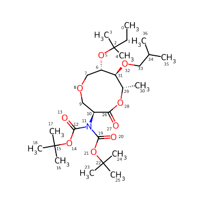 CCC(C)(C)O[C@H]1COC[C@H](N(C(=O)OC(C)(C)C)C(=O)OC(C)(C)C)C(=O)O[C@@H](C)[C@@H]1OCC(C)C